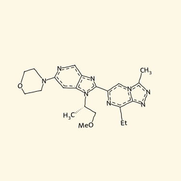 CCc1nc(-c2nc3cnc(N4CCOCC4)cc3n2[C@@H](C)COC)cn2c(C)nnc12